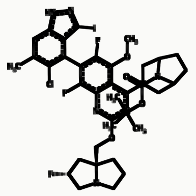 COc1c(F)c(-c2c(Cl)c(C)cc3[nH]nc(I)c23)c(F)c2nc(OC[C@@]34CCCN3C[C@H](F)C4)nc(N3CC4CCC(C3)N4C(=O)OC(C)(C)C)c12